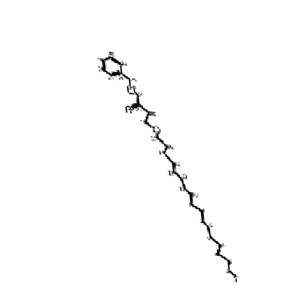 CCCCCCCCCCCCCCCCCCOCCC(=O)COCc1ccccc1